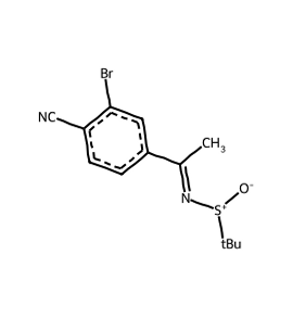 C/C(=N\[S+]([O-])C(C)(C)C)c1ccc(C#N)c(Br)c1